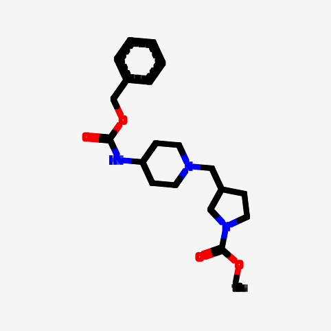 CC(C)(C)OC(=O)N1CCC(CN2CCC(NC(=O)OCc3ccccc3)CC2)C1